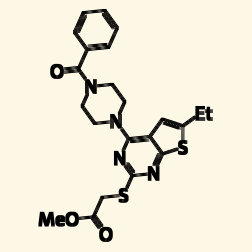 CCc1cc2c(N3CCN(C(=O)c4ccccc4)CC3)nc(SCC(=O)OC)nc2s1